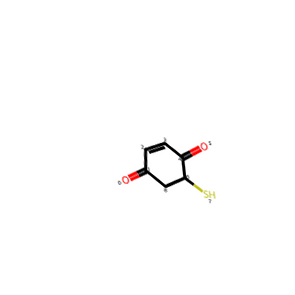 O=C1C=CC(=O)C(S)C1